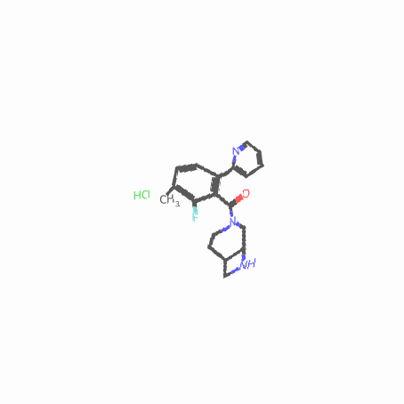 Cc1ccc(-c2ccccn2)c(C(=O)N2CCC3CNC3C2)c1F.Cl